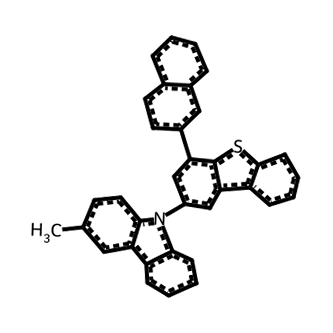 Cc1ccc2c(c1)c1ccccc1n2-c1cc(-c2ccc3ccccc3c2)c2sc3ccccc3c2c1